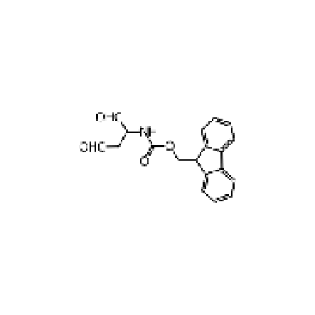 O=CCC(C=O)NC(=O)OCC1c2ccccc2-c2ccccc21